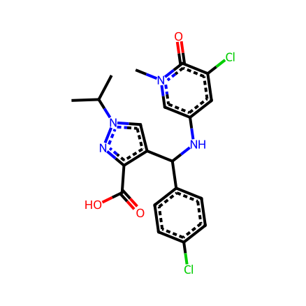 CC(C)n1cc(C(Nc2cc(Cl)c(=O)n(C)c2)c2ccc(Cl)cc2)c(C(=O)O)n1